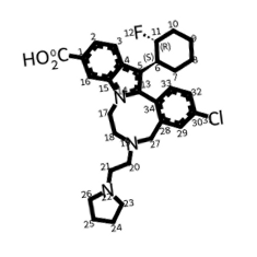 O=C(O)c1ccc2c([C@@H]3CCCC[C@H]3F)c3n(c2c1)CCN(CCN1CCCC1)Cc1cc(Cl)ccc1-3